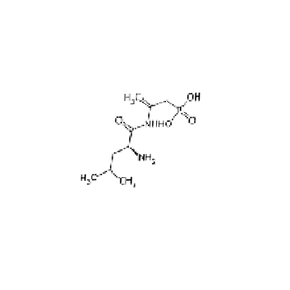 C=C(CP(=O)(O)O)NC(=O)[C@@H](N)CC(C)C